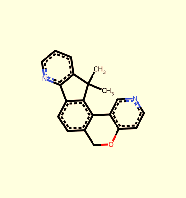 CC1(C)c2cccnc2-c2ccc3c(c21)-c1cnccc1OC3